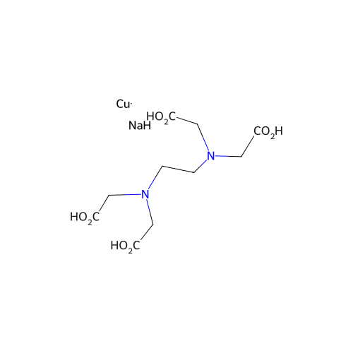 O=C(O)CN(CCN(CC(=O)O)CC(=O)O)CC(=O)O.[Cu].[NaH]